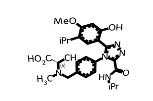 COc1cc(O)c(-c2nnc(C(=O)NC(C)C)n2-c2ccc(CN(C)[C@@H](C)C(=O)O)cc2)cc1C(C)C